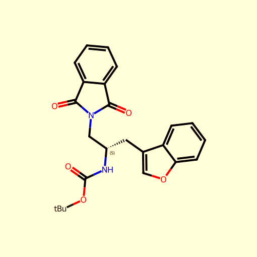 CC(C)(C)OC(=O)N[C@@H](Cc1coc2ccccc12)CN1C(=O)c2ccccc2C1=O